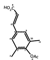 CC(=O)Oc1c(C)cc(/C=C/C(=O)O)cc1C